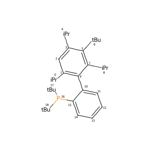 CC(C)c1cc(C(C)C)c(C(C)(C)C)c(C(C)C)c1-c1ccccc1P(C(C)(C)C)C(C)(C)C